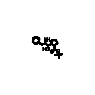 CC(C)(C)OC(=O)N1CCC[C@@H]1[C@H](O)[C@@H](N)Cc1ccccc1